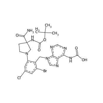 CC(C)(C)OC(=O)NC1(C(N)=O)CCN(c2cc(Cl)cc(Br)c2Cn2cnc3c(NC(=O)O)ncnc32)C1